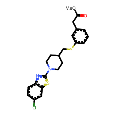 COC(=O)Cc1cccc(SCC2CCN(c3nc4ccc(Cl)cc4s3)CC2)c1